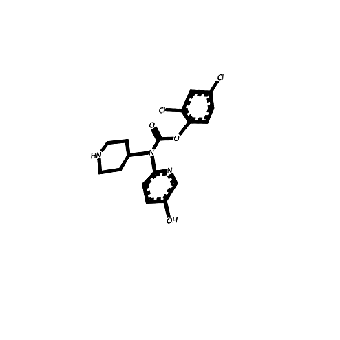 O=C(Oc1ccc(Cl)cc1Cl)N(c1ccc(O)cn1)C1CCNCC1